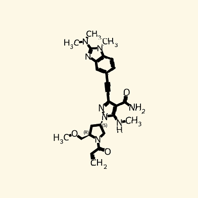 C=CC(=O)N1C[C@@H](n2nc(C#Cc3ccc4c(c3)nc(N(C)C)n4C)c(C(N)=O)c2NC)C[C@@H]1COC